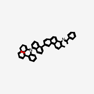 C/C(=N\c1c(C)ccc2c1ccc1ccc(-c3cccc4c(N(C5=CCCCC5)c5ccccc5-c5ccccc5)cccc34)cc12)c1ccccc1